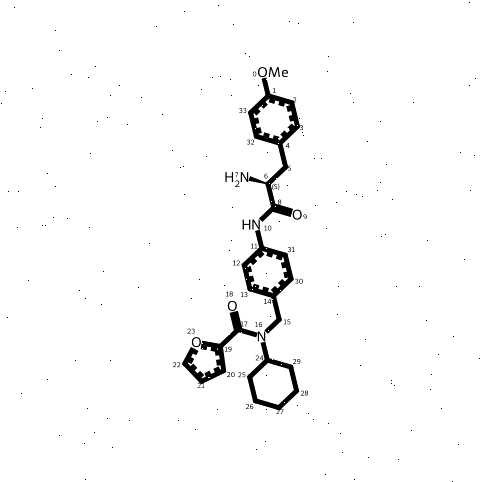 COc1ccc(C[C@H](N)C(=O)Nc2ccc(CN(C(=O)c3ccco3)C3CCCCC3)cc2)cc1